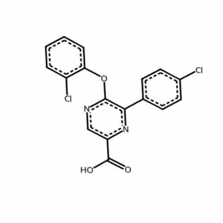 O=C(O)c1cnc(Oc2ccccc2Cl)c(-c2ccc(Cl)cc2)n1